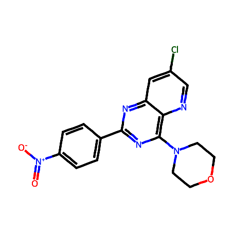 O=[N+]([O-])c1ccc(-c2nc(N3CCOCC3)c3ncc(Cl)cc3n2)cc1